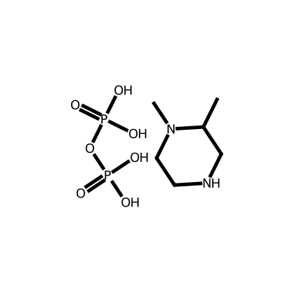 CC1CNCCN1C.O=P(O)(O)OP(=O)(O)O